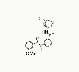 COc1cccc(C(=O)Nc2cccc([C@H](C)Nc3cncc(Cl)n3)c2)c1